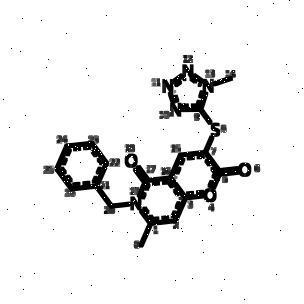 Cc1cc2oc(=O)c(Sc3nnnn3C)cc2c(=O)n1Cc1ccccc1